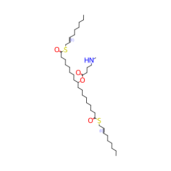 CCCCCC/C=C/CSC(=O)CCCCCCCCC(CCCCCCCC(=O)SC/C=C/CCCCCC)OC(=O)CCCNC